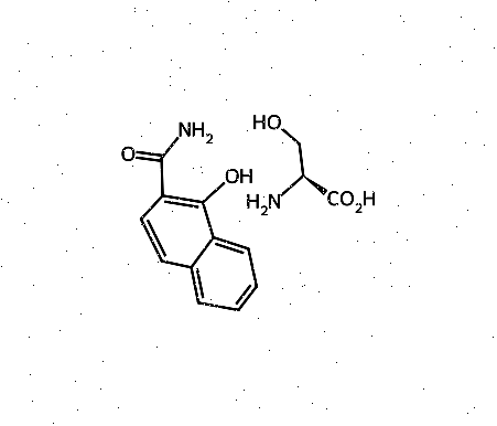 NC(=O)c1ccc2ccccc2c1O.N[C@@H](CO)C(=O)O